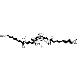 CCCCCCCCCCCCCCCCCC(=O)NCCC[N+](C)(C)CC[N+](C)(C)CCCNC(=O)CCCCCCCCCCCCCCCCC